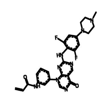 C=CC(=O)Nc1cccc(-n2cnc(=O)c3cnc(Nc4c(F)cc(N5CCN(C)CC5)cc4F)nc32)c1